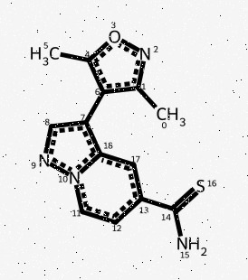 Cc1noc(C)c1-c1cnn2ccc(C(N)=S)cc12